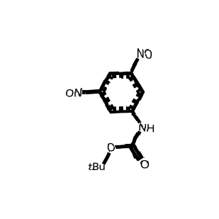 CC(C)(C)OC(=O)Nc1cc(N=O)cc(N=O)c1